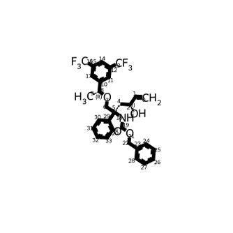 C=C[C@H](O)C[C@](CO[C@H](C)c1cc(C(F)(F)F)cc(C(F)(F)F)c1)(NC(=O)OCc1ccccc1)c1ccccc1